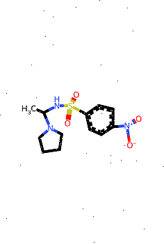 CC(NS(=O)(=O)c1ccc([N+](=O)[O-])cc1)N1CCCC1